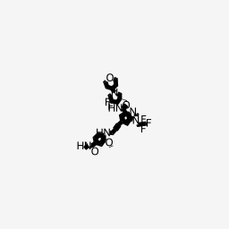 CNC(=O)c1ccc(NCC#Cc2cc(C(=O)N[C@@H]3[C@@H](C)CN(C4CCOCC4)CC3(F)F)c3ncn(CC(F)(F)F)c3c2)c(OC)c1